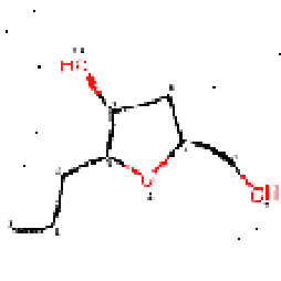 CCCC1O[C@H](CO)C[C@@H]1O